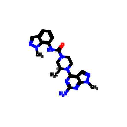 C[C@H]1CN(C(=O)Nc2cccc3cnn(C)c23)CCN1c1nc(N)nc2c1cnn2C